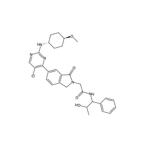 CO[C@H]1CC[C@H](Nc2ncc(Cl)c(-c3ccc4c(c3)C(=O)N(CC(=O)NC(c3ccccc3)C(C)O)C4)n2)CC1